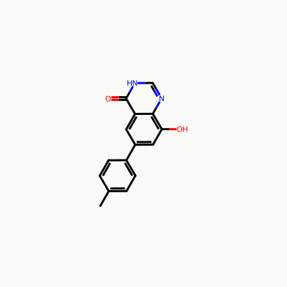 Cc1ccc(-c2cc(O)c3nc[nH]c(=O)c3c2)cc1